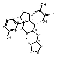 O=C(O)C(=O)O.Oc1cccc(C23CCCC2CN(CC2CCCC2)CC3)c1